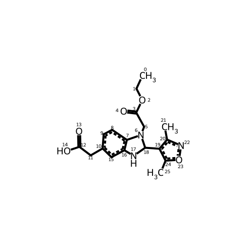 CCOC(=O)CN1c2ccc(CC(=O)O)cc2NC1c1c(C)noc1C